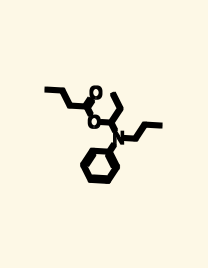 CCCC(=O)OC(CC)N(CCC)c1ccccc1